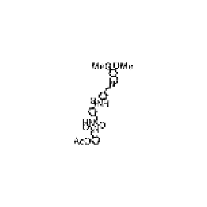 COc1cc2c(cc1OC)CN(CCc1ccc(NC(=O)c3cccc(C=c4[nH]c(=O)c(=Cc5ccccc5OC(C)=O)n(C)c4=O)c3)cc1)CC2